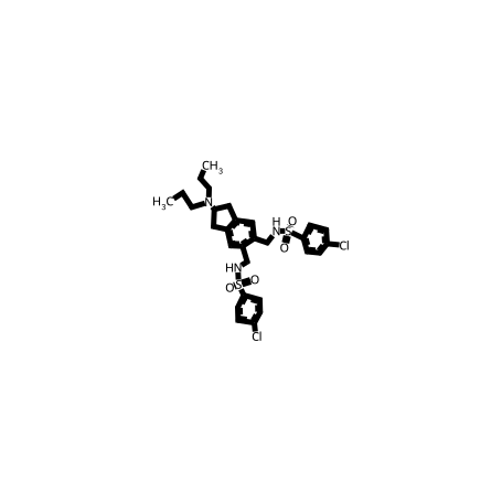 CCCN(CCC)C1Cc2cc(CNS(=O)(=O)c3ccc(Cl)cc3)c(CNS(=O)(=O)c3ccc(Cl)cc3)cc2C1